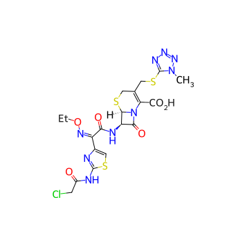 CCO/N=C(\C(=O)N[C@@H]1C(=O)N2C(C(=O)O)=C(CSc3nnnn3C)CS[C@H]12)c1csc(NC(=O)CCl)n1